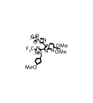 COc1ccc(Cn2nc(C(F)(F)F)nc2-c2nc3nc(C(C)(OC)OC)ccn3c2-c2cn(S(=O)(=O)N(C)C)cn2)cc1